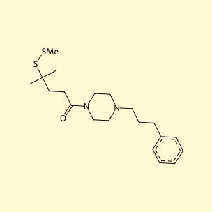 CSSC(C)(C)CCC(=O)N1CCN(CCCc2ccccc2)CC1